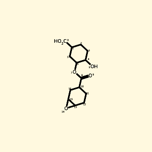 O=C(O)C1CCC(O)C(OC(=O)C2CCC3OC3C2)C1